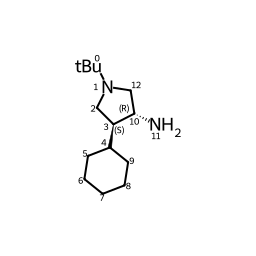 CC(C)(C)N1C[C@H](C2CCCCC2)[C@@H](N)C1